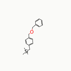 C[Si](C)(C)Cc1ccc(COCc2ccccc2)cc1